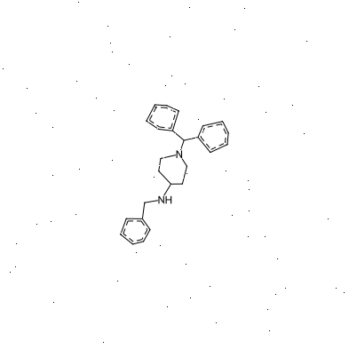 c1ccc(CNC2CCN(C(c3ccccc3)c3ccccc3)CC2)cc1